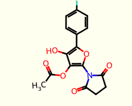 CC(=O)Oc1c(N2C(=O)CCC2=O)oc(-c2ccc(F)cc2)c1O